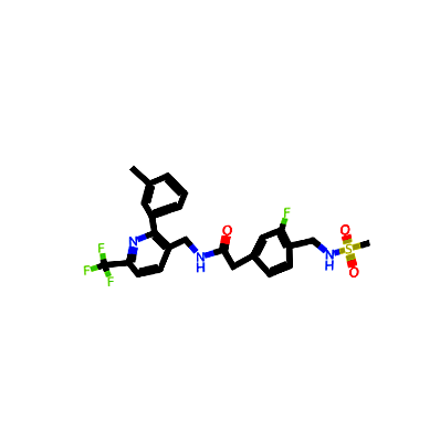 Cc1cccc(-c2nc(C(F)(F)F)ccc2CNC(=O)Cc2ccc(CNS(C)(=O)=O)c(F)c2)c1